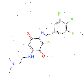 CN(C)CCNC1=CC(=O)c2nc(-c3cc(F)c(F)c(F)c3)sc2C1=O